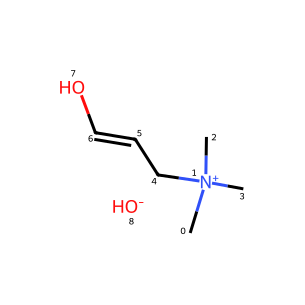 C[N+](C)(C)CC=CO.[OH-]